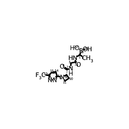 CC(NC(=O)CNC(=O)[C@@H]1CCN1c1ccc(C(F)(F)F)nn1)B(O)O